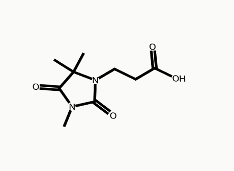 CN1C(=O)N(CCC(=O)O)C(C)(C)C1=O